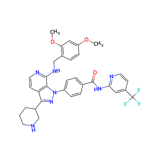 COc1ccc(CNc2nccc3c(C4CCCNC4)nn(-c4ccc(C(=O)Nc5cc(C(F)(F)F)ccn5)cc4)c23)c(OC)c1